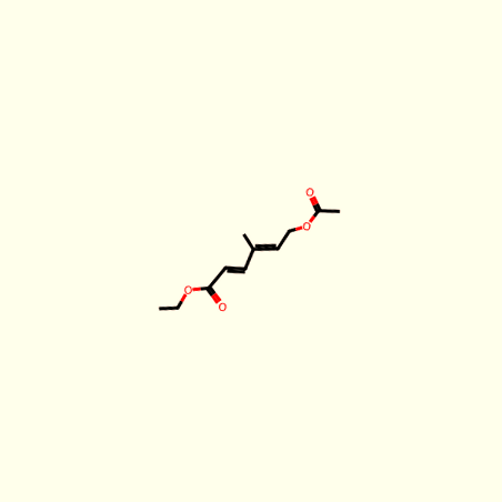 CCOC(=O)/C=C/C(C)=C/COC(C)=O